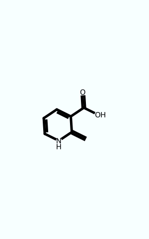 C=C1NC=CC=C1C(=O)O